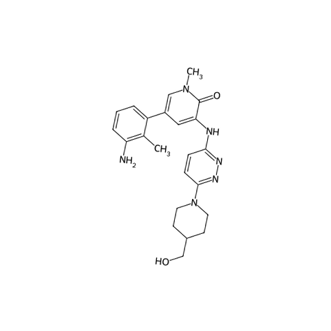 Cc1c(N)cccc1-c1cc(Nc2ccc(N3CCC(CO)CC3)nn2)c(=O)n(C)c1